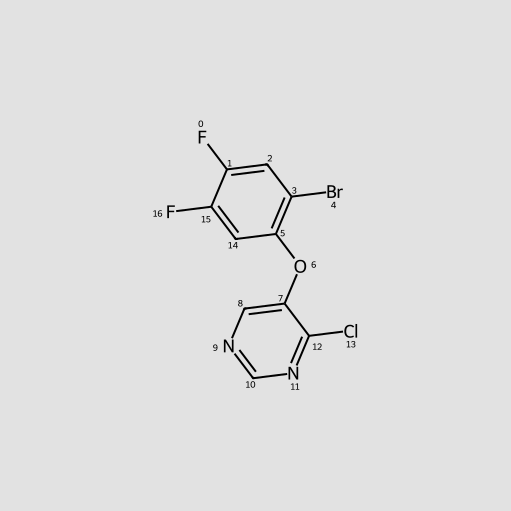 Fc1cc(Br)c(Oc2cncnc2Cl)cc1F